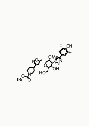 CO[C@@H]1[C@@H](n2cc(-c3cc(F)c(C#N)c(F)c3)nn2)[C@@H](O)[C@@H](CO)O[C@@H]1CC1CC(C2CCN(C(=O)OC(C)(C)C)CC2)=NO1